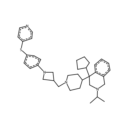 CC(C)N1Cc2ccccc2C(C2CCCC2)(C2CCN(CC3CN(c4ccc(Sc5ccncc5)cc4)C3)CC2)C1